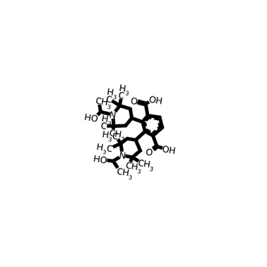 CC(O)N1C(C)(C)CC(c2c(C(=O)O)ccc(C(=O)O)c2C2CC(C)(C)N(C(C)O)C(C)(C)C2)CC1(C)C